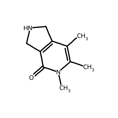 Cc1c2c(c(=O)n(C)c1C)CNC2